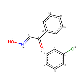 Clc1ccccc1.O=C(C=NO)c1ccccc1